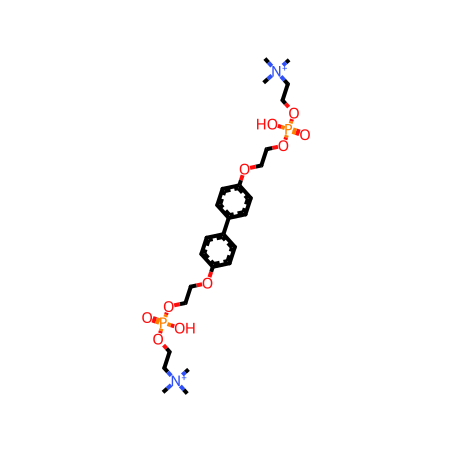 C[N+](C)(C)CCOP(=O)(O)OCCOc1ccc(-c2ccc(OCCOP(=O)(O)OCC[N+](C)(C)C)cc2)cc1